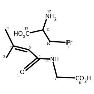 CC(C)=CC(=O)NCC(=O)O.CC(C)CC(N)C(=O)O